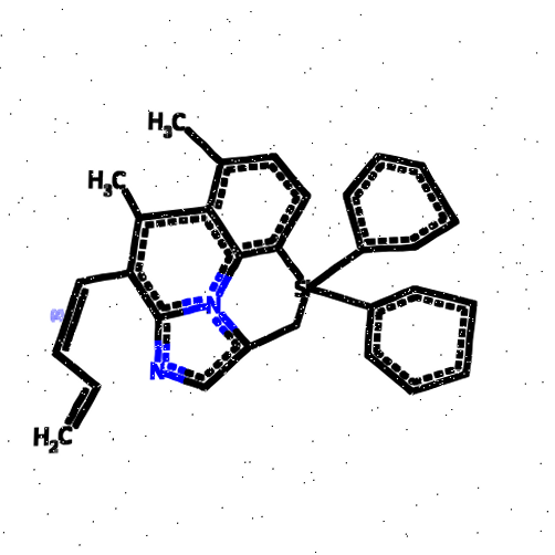 C=C/C=C\c1c(C)c2c(C)ccc3c2n2c(cnc12)C[Si]3(c1ccccc1)c1ccccc1